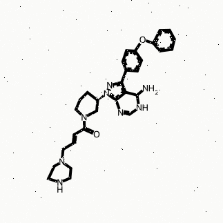 NC1NC=Nc2c1c(-c1ccc(Oc3ccccc3)cc1)nn2[C@@H]1CCCN(C(=O)/C=C/CN2CCNCC2)C1